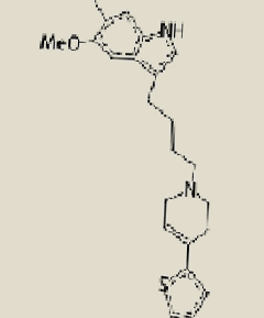 COc1cc2[nH]cc(CCCCN3CC=C(c4cccs4)CC3)c2cc1OC